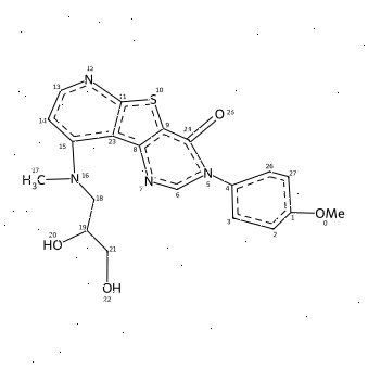 COc1ccc(-n2cnc3c(sc4nccc(N(C)CC(O)CO)c43)c2=O)cc1